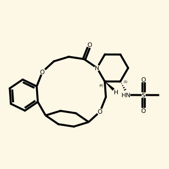 CS(=O)(=O)N[C@H]1CCCN2C(=O)CCOc3ccccc3C3CCC(CC3)OC[C@@H]12